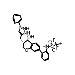 O=S(=O)(Nc1ccccc1-c1ccc2c(c1)OC[C@H](CC1=CN(c3ccccc3)NN1)[C@H]2O)C(F)(F)F